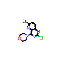 CCc1ccc2nc(Cl)nc(N3CCOCC3)c2n1